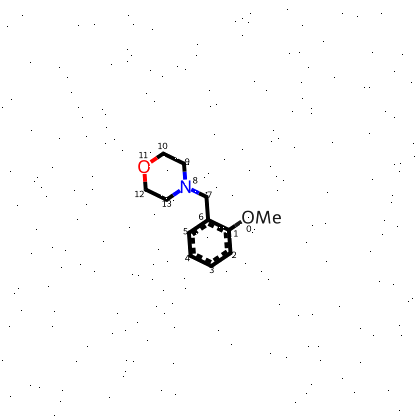 COc1ccccc1[CH]N1CCOCC1